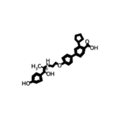 C[C@@H](NCCOc1ccc(-c2ccc(C(=O)O)c(C3CCCC3)c2)cc1)[C@H](O)c1ccc(O)cc1